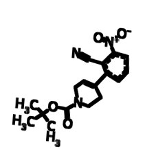 CC(C)(C)OC(=O)N1CC=C(c2cccc([N+](=O)[O-])c2C#N)CC1